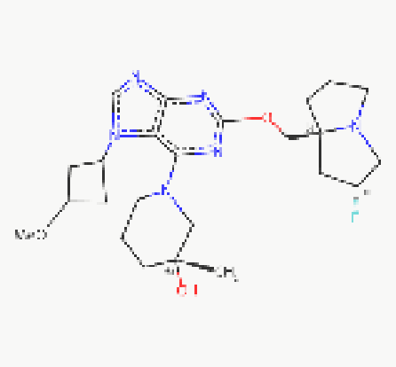 COC1CC(n2cnc3nc(OC[C@@]45CCCN4C[C@H](F)C5)nc(N4CCC[C@@](C)(O)C4)c32)C1